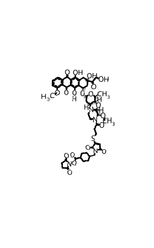 COc1cccc2c1C(=O)c1c(O)c3c(c(O)c1C2=O)C[C@@](O)(C(=O)CO)C[C@@H]3O[C@H]1C[C@H]2[C@H](O[C@@H]3[C@@H](OC)N(C(=O)CCSC4CC(=O)N(CC5CCC(C(=O)ON6C(=O)CCC6=O)CC5)C4=O)CCN32)[C@H](C)O1